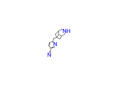 N#Cc1ccc(CC23CC4CNCC(C2)C43)nc1